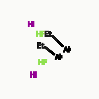 C[CH2][Al].C[CH2][Al].F.F.I.I